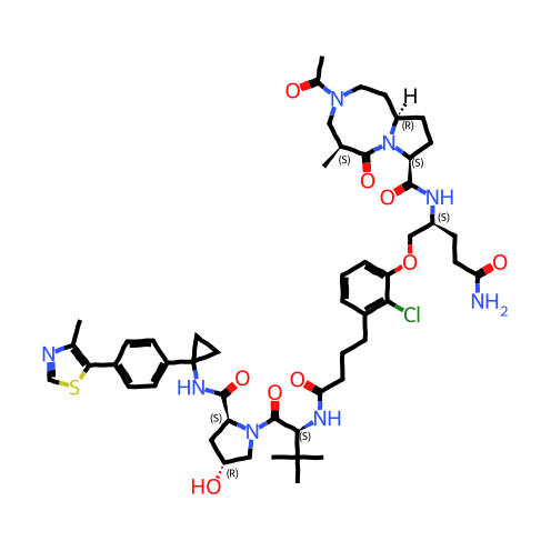 CC(=O)N1CC[C@H]2CC[C@@H](C(=O)N[C@@H](CCC(N)=O)COc3cccc(CCCC(=O)N[C@H](C(=O)N4C[C@H](O)C[C@H]4C(=O)NC4(c5ccc(-c6scnc6C)cc5)CC4)C(C)(C)C)c3Cl)N2C(=O)[C@@H](C)C1